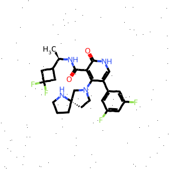 C[C@@H](NC(=O)c1c(N2CC[C@@]3(CCCN3)C2)c(-c2cc(F)cc(F)c2)c[nH]c1=O)C1CC(F)(F)C1